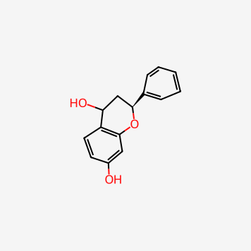 Oc1ccc2c(c1)O[C@H](c1ccccc1)CC2O